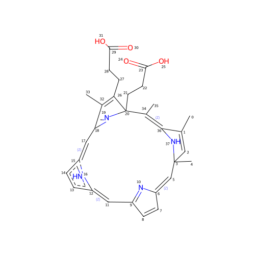 CC1=CC2(C)/C=C3/C=CC(=N3)/C=c3/cc/c([nH]3)=C/C3=NC(CCC(=O)O)(C(CCC(=O)O)=C3C)/C(C)=C/1N2